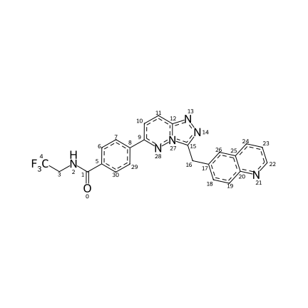 O=C(NCC(F)(F)F)c1ccc(-c2ccc3nnc(Cc4ccc5ncccc5c4)n3n2)cc1